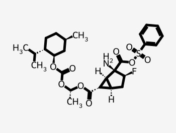 CC(C)[C@@H]1CC[C@@H](C)C[C@H]1OC(=O)O[C@@H](C)OC(=O)[C@H]1[C@@H]2C[C@H](F)[C@@](N)(C(=O)OS(=O)(=O)c3ccccc3)[C@@H]21